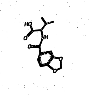 CC(C)C(NC(=O)c1ccc2c(c1)OCO2)C(=O)O